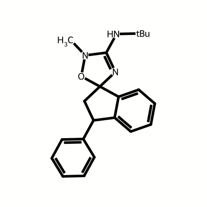 CN1OC2(CC(c3ccccc3)c3ccccc32)N=C1NC(C)(C)C